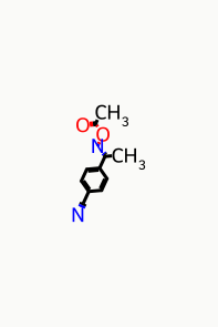 CC(=O)ON=C(C)c1ccc(C#N)cc1